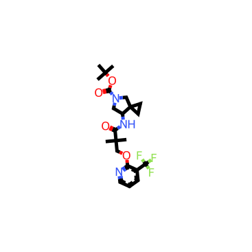 CC(C)(C)OC(=O)N1CC(NC(=O)C(C)(C)COc2ncccc2C(F)(F)F)C2(CC2)C1